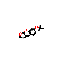 CC(C)(C)Oc1ccc(C=C2CCOC2=O)cc1